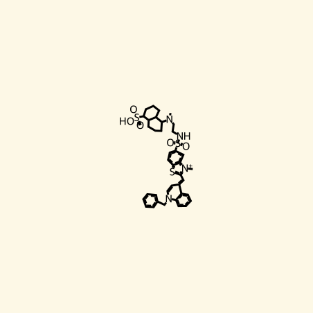 CN(CCNS(=O)(=O)c1ccc2sc(/C=C3\C=CN(Cc4ccccc4)c4ccccc43)[n+](C)c2c1)C1CCCC2C1CCCC2S(=O)(=O)O